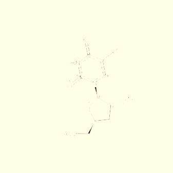 CC(=O)OC[C@@H]1C[C@@H](OC(C)=O)[C@H](n2cc(I)c(=O)[nH]c2=O)O1